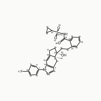 C[C@]12Cc3cnn(-c4ccc(F)cc4)c3C=C1CC[C@@]2(O)CCc1ccccc1C(=O)NS(=O)(=O)C1CC1